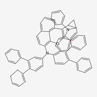 C1=CCCC(c2ccc(N(c3ccc(-c4ccccc4)c(-c4ccccc4)c3)c3ccc4cccc5c4c3OC3=C5C4CC4(N(c4ccccc4)c4ccccc4)C=C3)cc2-c2ccccc2)=C1